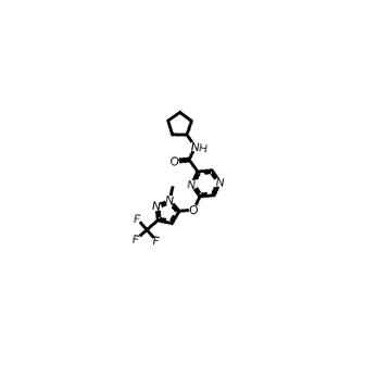 Cn1nc(C(F)(F)F)cc1Oc1cncc(C(=O)NC2CCCC2)n1